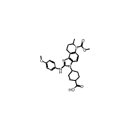 COC(=O)N1c2ccc3c(nc(Nc4ccc(OC)cc4)n3C3CCC(C(=O)O)CC3)c2CCC1C